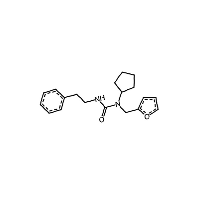 O=C(NCCc1ccccc1)N(Cc1ccco1)C1CCCC1